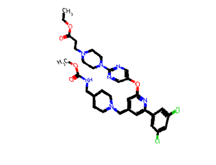 CCOC(=O)CCN1CCN(c2ncc(Oc3cc(CN4CCC(CNC(=O)OC)CC4)cc(-c4cc(Cl)cc(Cl)c4)n3)cn2)CC1